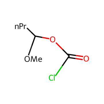 CCCC(OC)OC(=O)Cl